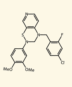 COc1ccc(N2CN(Cc3ccc(Cl)cc3F)c3ccncc3S2)cc1OC